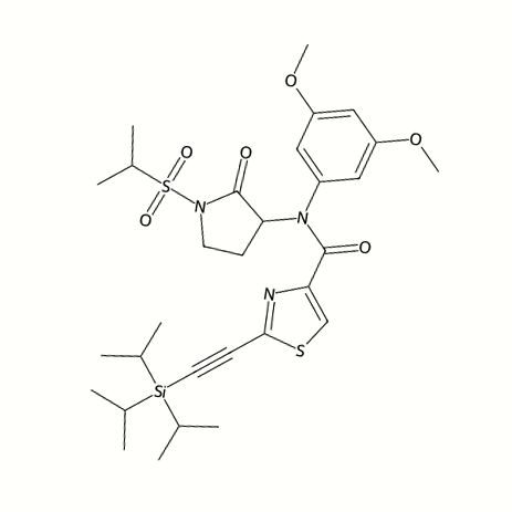 COc1cc(OC)cc(N(C(=O)c2csc(C#C[Si](C(C)C)(C(C)C)C(C)C)n2)C2CCN(S(=O)(=O)C(C)C)C2=O)c1